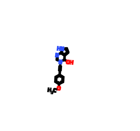 COc1ccc(C#CN2C=Nc3[nH]ccc3C2O)cc1